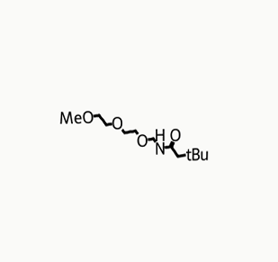 COCCOCCOCNC(=O)CC(C)(C)C